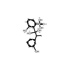 CC(c1cccc(O)c1)C(O)(O)c1c(O)cccc1P(=O)(O)O